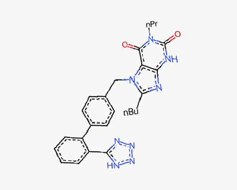 CCCCc1nc2[nH]c(=O)n(CCC)c(=O)c2n1Cc1ccc(-c2ccccc2-c2nnn[nH]2)cc1